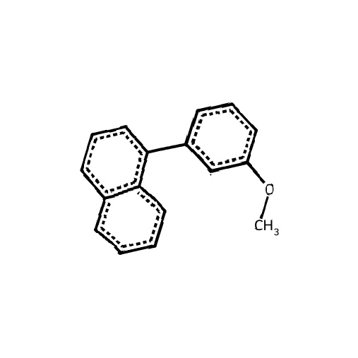 COc1[c]c(-c2cccc3ccccc23)ccc1